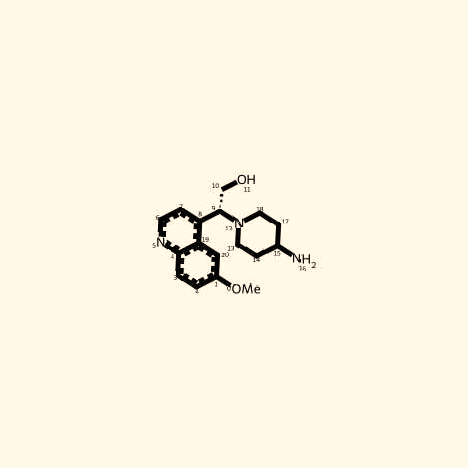 COc1ccc2nccc([C@H](CO)N3CCC(N)CC3)c2c1